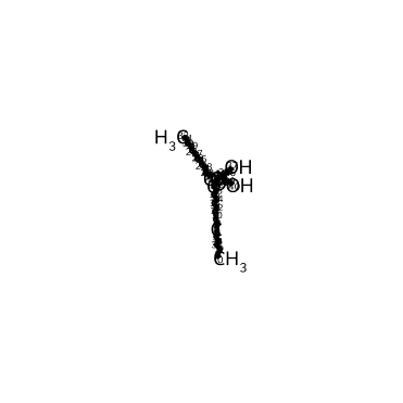 CCCCCCCCCCCCCCCCCOP(=O)(OCCCCCCCCCCCC)ON(CCO)CCO